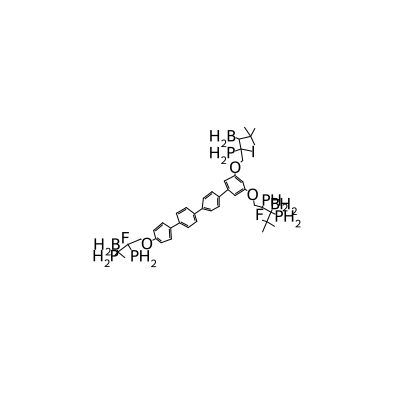 BC(C(C)(C)C)C(P)(I)COc1cc(OCC(F)(P)C(B)(P)C(C)(C)C)cc(-c2ccc(-c3ccc(-c4ccc(OCC(F)(P)C(B)(C)P)cc4)cc3)cc2)c1